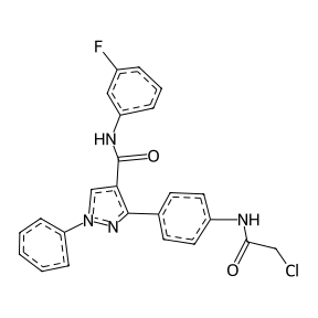 O=C(CCl)Nc1ccc(-c2nn(-c3ccccc3)cc2C(=O)Nc2cccc(F)c2)cc1